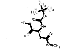 COC(=O)C[C@H](NC(=O)OC(C)(C)C)C(=O)CF